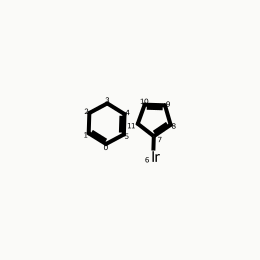 C1=CCCC=C1.[Ir][C]1=CC=CC1